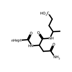 CCCCCCCC(=O)NC(CC(N)=O)C(=O)NC(C)CCC(=O)O